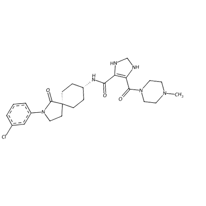 CN1CCN(C(=O)C2=C(C(=O)N[C@H]3CC[C@@]4(CCN(c5cccc(Cl)c5)C4=O)CC3)NCN2)CC1